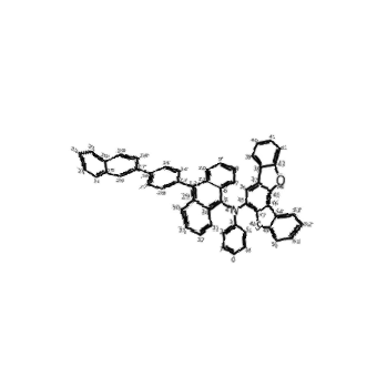 c1ccc(N(c2c3ccccc3c(-c3ccc(-c4ccc5ccccc5c4)cc3)c3ccccc23)c2cc3c4ccccc4oc3c3c2sc2ccccc23)cc1